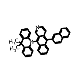 CC1(C)c2ccccc2N(c2c3ccccc3c(-c3ccc4ccccc4c3)c3ccncc23)c2ccccc21